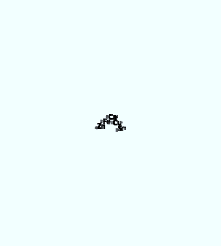 [Ca].[Cu].[Fe].[Sr].[Zn]